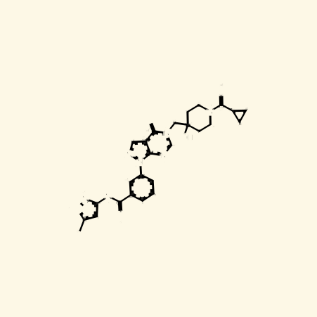 Cc1cc(NC(=O)c2cccc(-n3ncc4c(=O)n(CC5(O)CCN(C(=O)C6CC6)CC5)cnc43)c2)no1